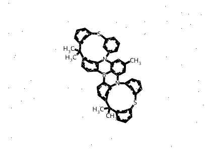 Cc1cc2c3c(c1)N1c4cccc(c4)Sc4cccc(c4)C(C)(C)c4ccc(c1c4)B3c1ccc3cc1N2c1cccc(c1)Sc1cccc(c1)C3(C)C